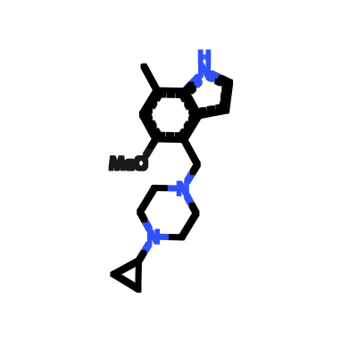 COc1cc(C)c2[nH]ccc2c1CN1CCN(C2CC2)CC1